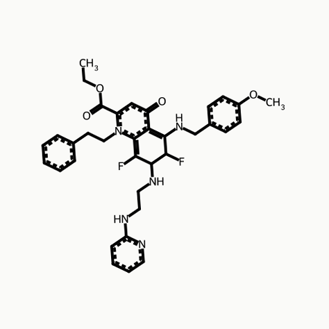 CCOC(=O)c1cc(=O)c2c(n1CCc1ccccc1)=C(F)C(NCCNc1ccccn1)C(F)C=2NCc1ccc(OC)cc1